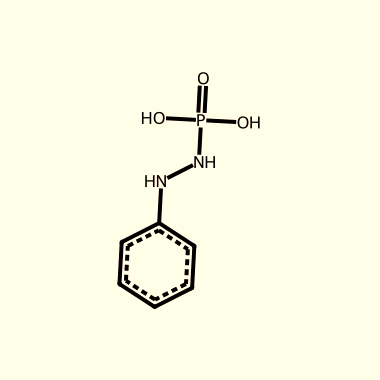 O=P(O)(O)NNc1ccccc1